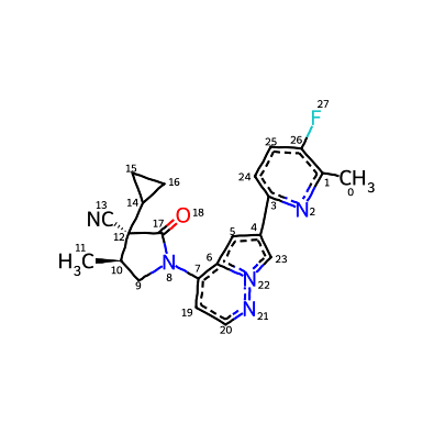 Cc1nc(-c2cc3c(N4C[C@@H](C)[C@@](C#N)(C5CC5)C4=O)ccnn3c2)ccc1F